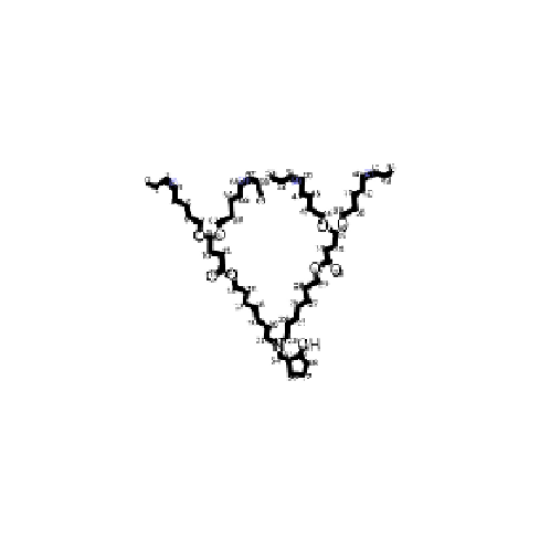 CC/C=C\CCCCOC(CCC(=O)OCCCCCCCN(CCCCCCCOC(=O)CCC(OCCCC/C=C\CC)OCCCC/C=C\CC)CC1CCCC1O)OCCCC/C=C\CC